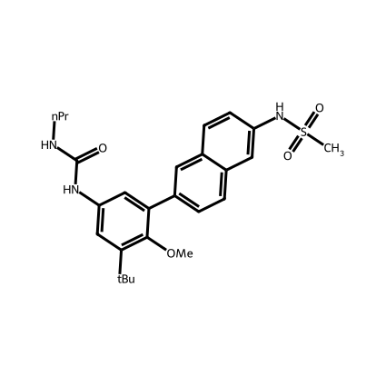 CCCNC(=O)Nc1cc(-c2ccc3cc(NS(C)(=O)=O)ccc3c2)c(OC)c(C(C)(C)C)c1